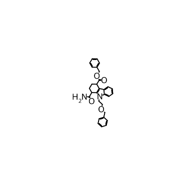 NC(=O)C1CCC(C(=O)OCc2ccccc2)c2c1n(CCOCc1ccccc1)c1ccccc21